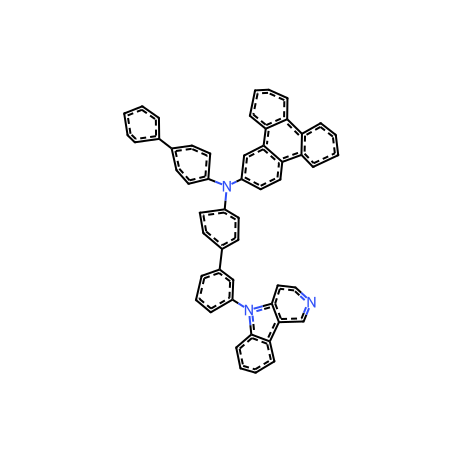 c1ccc(-c2ccc(N(c3ccc(-c4cccc(-n5c6ccccc6c6cnccc65)c4)cc3)c3ccc4c5ccccc5c5ccccc5c4c3)cc2)cc1